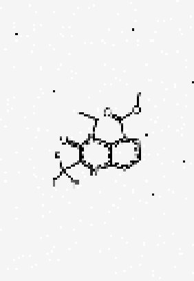 CCn1c(=O)c(C(F)(F)F)nc2cccc(C(=O)OC)c21